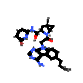 Nc1ncnc2c1c1cc(CCC(=O)O)ccc1n2CC(=O)N1C2C[C@@H]2C[C@H]1C(=O)Nc1cccc(Br)n1